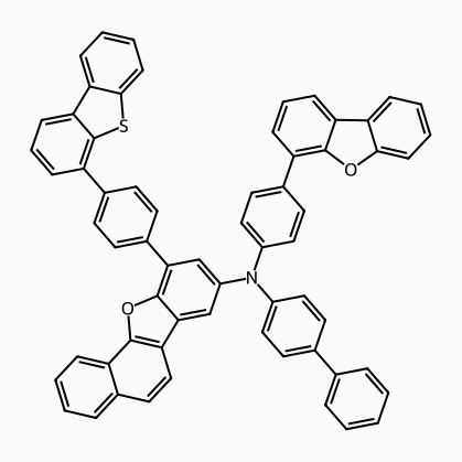 c1ccc(-c2ccc(N(c3ccc(-c4cccc5c4oc4ccccc45)cc3)c3cc(-c4ccc(-c5cccc6c5sc5ccccc56)cc4)c4oc5c6ccccc6ccc5c4c3)cc2)cc1